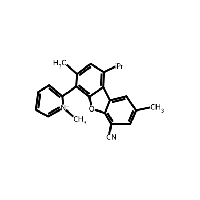 Cc1cc(C#N)c2oc3c(-c4cccc[n+]4C)c(C)cc(C(C)C)c3c2c1